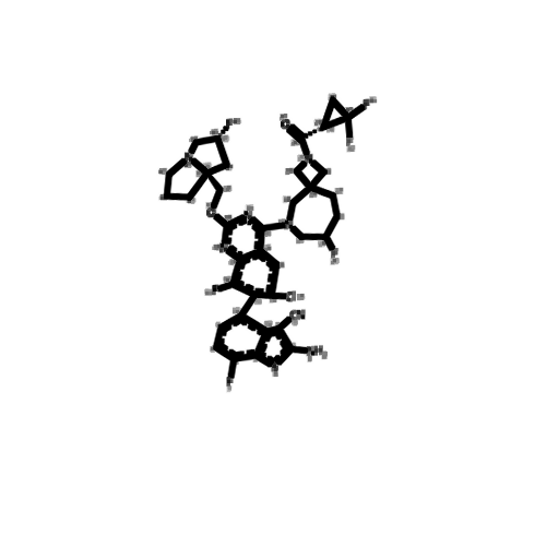 N#Cc1c(N)sc2c(F)ccc(-c3c(Cl)cc4c(N5CC(F)CCC6(CN(C(=O)[C@@H]7CC7(F)F)C6)C5)nc(OC[C@@]56CCCN5C[C@H](F)C6)nc4c3F)c12